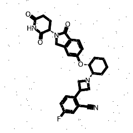 N#Cc1cc(F)ccc1C1CN([C@H]2CCCC[C@H]2Oc2ccc3c(c2)CN([C@H]2CCC(=O)NC2=O)C3=O)C1